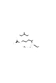 CC(N)=O.C[N+](C)(C)CCO.N=C(N)NCCCC(N)C(=O)O.OCC(O)CO